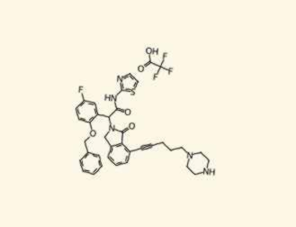 O=C(Nc1nccs1)C(c1cc(F)ccc1OCc1ccccc1)N1Cc2cccc(C#CCCCN3CCNCC3)c2C1=O.O=C(O)C(F)(F)F